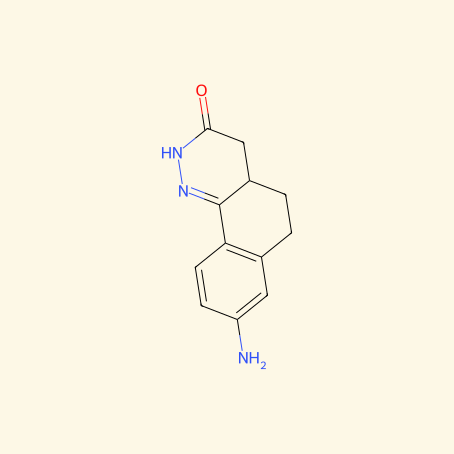 Nc1ccc2c(c1)CCC1CC(=O)NN=C21